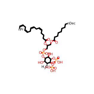 CCC/C=C\C/C=C\C/C=C\C/C=C\CCCC(=O)OC(COC(=O)CCCCCCCCCCCCCCCCC)COP(=O)(O)O[C@H]1C(O)[C@@H](OP(=O)(O)O)C(OP(=O)(O)O)[C@@H](C)[C@H]1O